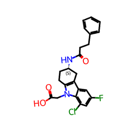 O=C(O)Cn1c2c(c3cc(F)cc(Cl)c31)C[C@@H](NC(=O)CCc1ccccc1)CC2